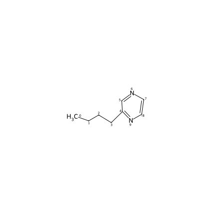 CCCCc1cnc[c]n1